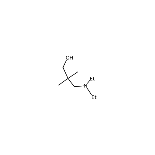 CCN(CC)CC(C)(C)CO